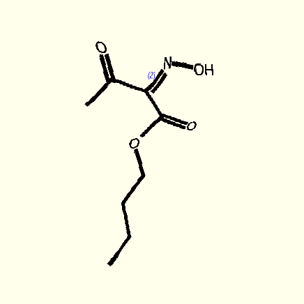 CCCCOC(=O)/C(=N\O)C(C)=O